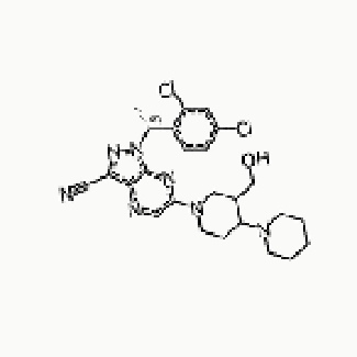 C[C@H](c1ccc(Cl)cc1Cl)n1nc(C#N)c2ncc(N3CCC(N4CCCCC4)C(CO)C3)nc21